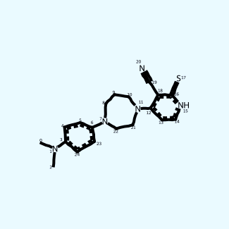 CN(C)c1ccc(N2CCCN(c3cc[nH]c(=S)c3C#N)CC2)cc1